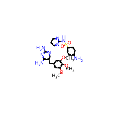 COc1cc(Cc2cnc(N)nc2N)cc(OC)c1OC.Nc1ccc(S(=O)(=O)Nc2ncccn2)cc1